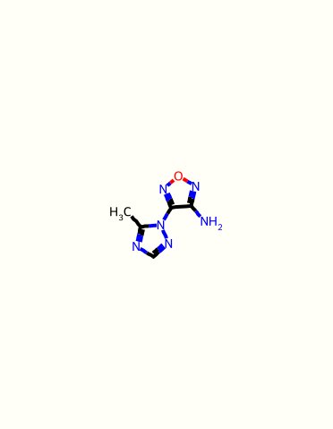 Cc1ncnn1-c1nonc1N